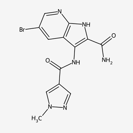 Cn1cc(C(=O)Nc2c(C(N)=O)[nH]c3ncc(Br)cc23)cn1